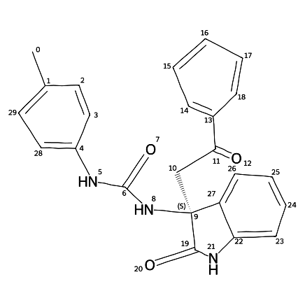 Cc1ccc(NC(=O)N[C@]2(CC(=O)c3ccccc3)C(=O)Nc3ccccc32)cc1